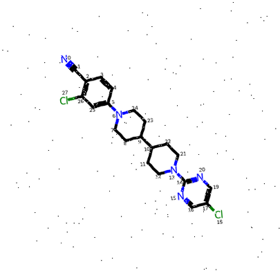 N#Cc1ccc(N2CCC(C3CCN(c4ncc(Cl)cn4)CC3)CC2)cc1Cl